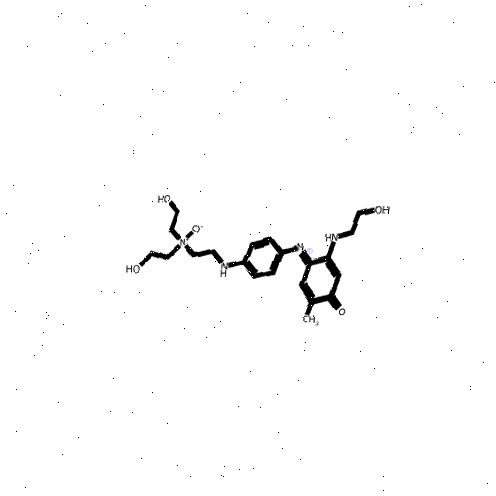 CC1=C/C(=N\c2ccc(NCC[N+]([O-])(CCO)CCO)cc2)C(NCCO)=CC1=O